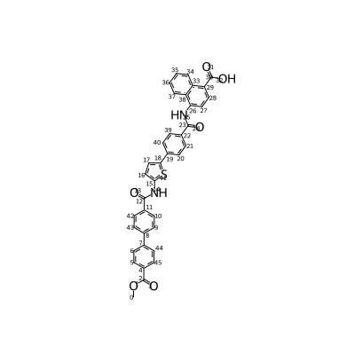 COC(=O)c1ccc(-c2ccc(C(=O)Nc3ccc(-c4ccc(C(=O)Nc5ccc(C(=O)O)c6ccccc56)cc4)s3)cc2)cc1